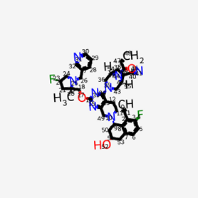 C#Cc1c(F)ccc2c1[C@H](N1CCc3c(nc(OC[C@]4(C)C[C@@H](F)CN4Cc4cccnc4)nc3N3C[C@H]4CC(C#N)[C@@H](C3)N4C(=O)C=C)C1)C[C@@H](O)C2